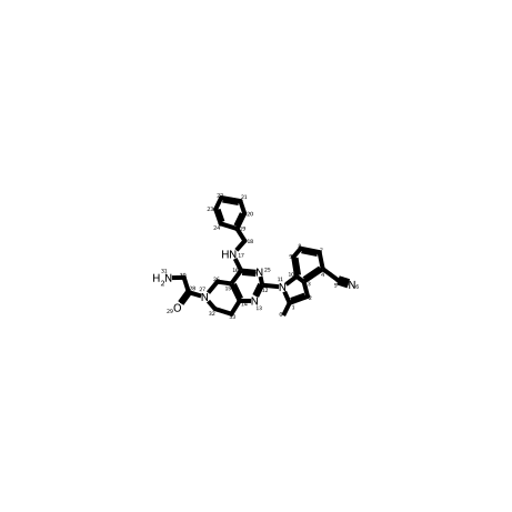 Cc1cc2c(C#N)cccc2n1-c1nc2c(c(NCc3ccccc3)n1)CN(C(=O)CN)CC2